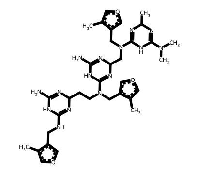 Cc1cocc1CNC1=NC(CCN(Cc2cocc2C)C2=NC(CN(Cc3cocc3C)C3=NC(C)N=C(N(C)C)N3)N=C(N)N2)N=C(N)N1